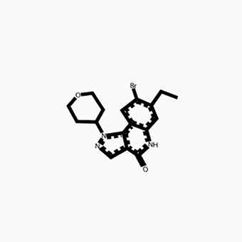 CCc1cc2[nH]c(=O)c3cnn(C4CCOCC4)c3c2cc1Br